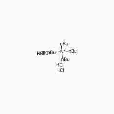 CCCC[N+](CCCC)(CCCC)CCCC.Cl.Cl.Cl.Cl.[Fe]